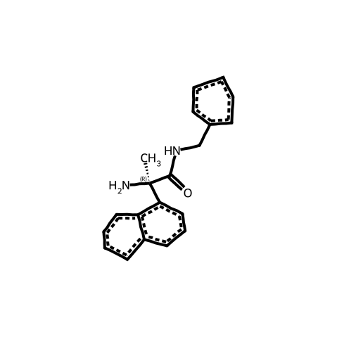 C[C@](N)(C(=O)NCc1ccccc1)c1cccc2ccccc12